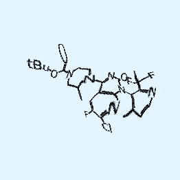 Cc1ccnc(C(C)(F)F)c1-n1c(=O)nc(N2CCN(C(=O)OC(C)(C)C)CC2C)c2cc(F)c(Cl)nc21